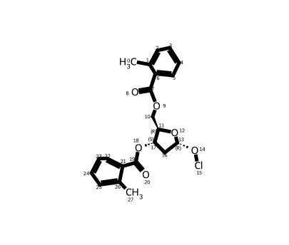 Cc1ccccc1C(=O)OC[C@H]1O[C@H](OCl)C[C@@H]1OC(=O)c1ccccc1C